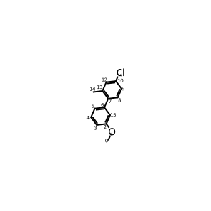 COc1cccc(-c2ccc(Cl)cc2C)c1